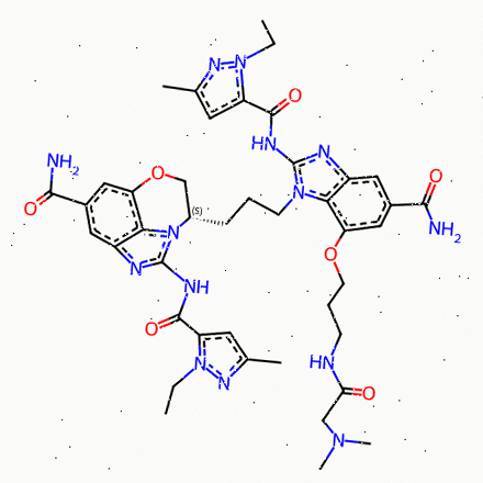 CCn1nc(C)cc1C(=O)Nc1nc2cc(C(N)=O)cc(OCCCNC(=O)CN(C)C)c2n1CCC[C@H]1COc2cc(C(N)=O)cc3nc(NC(=O)c4cc(C)nn4CC)n1c23